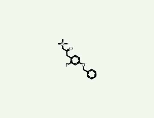 C[Si](C)(C)CC(=O)Cc1ccc(OCc2ccccc2)cc1F